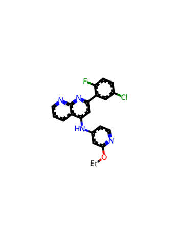 CCOc1cc(Nc2cc(-c3cc(Cl)ccc3F)nc3ncccc23)ccn1